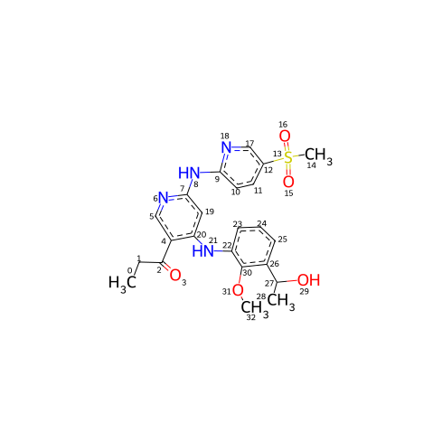 CCC(=O)c1cnc(Nc2ccc(S(C)(=O)=O)cn2)cc1Nc1cccc(C(C)O)c1OC